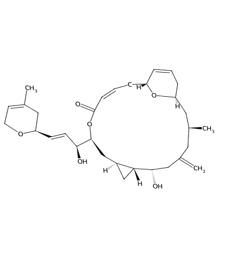 C=C1C[C@H](C)C[C@@H]2CC=C[C@@H](C/C=C\C(=O)O[C@H]([C@@H](O)/C=C/[C@@H]3CC(C)=CCO3)C[C@@H]3C[C@H]3[C@@H](O)C1)O2